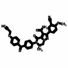 C#CCOc1ccc(C(=O)c2ccc(N3C(=O)c4c(C(N)=O)c(-c5ccc(OC)c(C#N)c5)nn4C[C@@H]3C)cc2)cc1